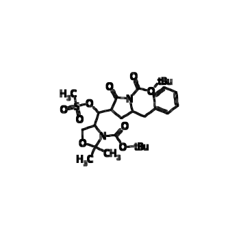 CC(C)(C)OC(=O)N1C(=O)C(C(OS(C)(=O)=O)C2COC(C)(C)N2C(=O)OC(C)(C)C)CC1Cc1ccccc1